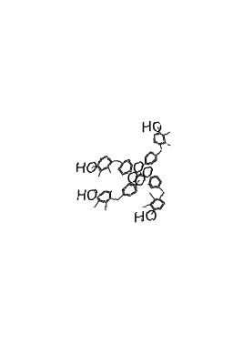 Cc1c(O)ccc(Cc2ccc(OC(Oc3ccc(Cc4ccc(O)c(C)c4C)cc3)(Oc3ccc(Cc4ccc(O)c(C)c4C)cc3)Oc3ccc(Cc4ccc(O)c(C)c4C)cc3)cc2)c1C